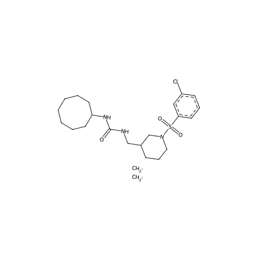 O=C(NCC1CCCN(S(=O)(=O)c2cccc(Cl)c2)C1)N[C]1CCCCCCC1.[CH2].[CH2]